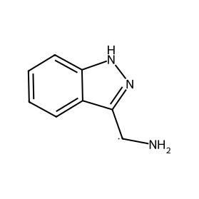 N[CH]c1n[nH]c2ccccc12